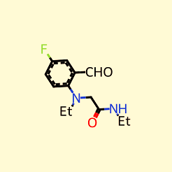 CCNC(=O)CN(CC)c1ccc(F)cc1C=O